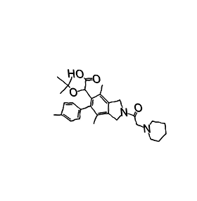 Cc1ccc(-c2c(C)c3c(c(C)c2C(OC(C)(C)C)C(=O)O)CN(C(=O)CN2CCCCC2)C3)cc1